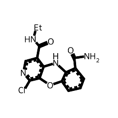 CCNC(=O)c1cnc(Cl)c2c1Nc1c(cccc1C(N)=O)O2